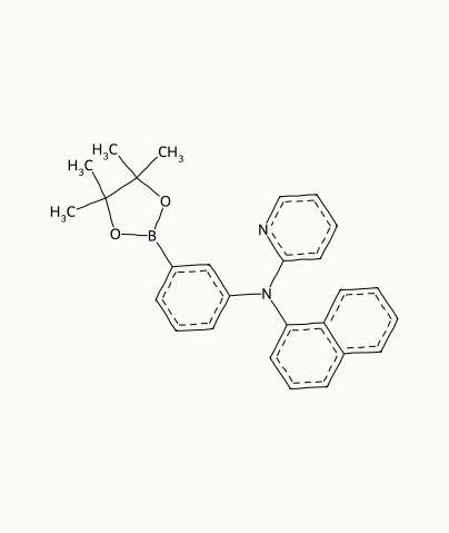 CC1(C)OB(c2cccc(N(c3ccccn3)c3cccc4ccccc34)c2)OC1(C)C